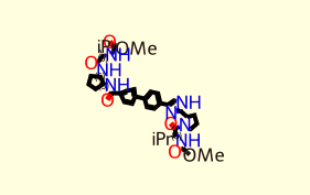 COC(=O)N[C@H](C(=O)N[C@H]1CCC[C@@H]1NC(=O)c1ccc(-c2ccc(-c3c[nH]c(C4CCCN4C(=O)[C@@H](NC(=O)OC)C(C)C)n3)cc2)cc1)C(C)C